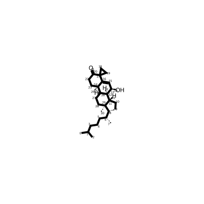 CC(C)CCC[C@@H](C)[C@H]1CC[C@H]2[C@@H]3[C@H](O)C=C4C5(CC5)C(=O)CC[C@]4(C)[C@H]3CC[C@]12C